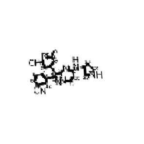 Cc1cc(-c2c(-c3cccc(C#N)c3)nn3ccc(N[C@@H]4CCNC4)nc23)cc(Cl)n1